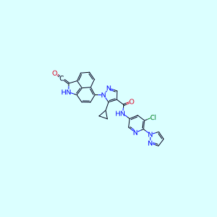 O=C=c1[nH]c2ccc(-n3ncc(C(=O)Nc4cnc(-n5cccn5)c(Cl)c4)c3C3CC3)c3cccc1c23